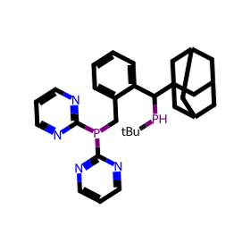 CC(C)(C)PC(c1ccccc1CP(c1ncccn1)c1ncccn1)C12CC3CC(CC(C3)C1)C2